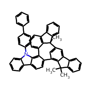 CC1(C)c2ccccc2-c2cc3cc(c21)-c1ccc2c4ccccc4n(-c4ccc(-c5ccccc5)cc4)c2c1-c1cccc2c1C3(C)c1ccccc1-2